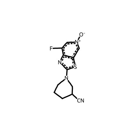 N#CC1CCCN(c2nc3c(F)c[n+]([O-])cc3s2)C1